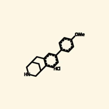 COc1ccc(-c2ccc3c(c2)CC2CNCC3C2)cc1.Cl